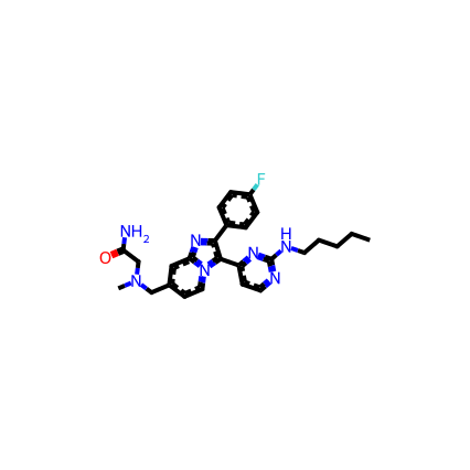 CCCCCNc1nccc(-c2c(-c3ccc(F)cc3)nc3cc(CN(C)CC(N)=O)ccn23)n1